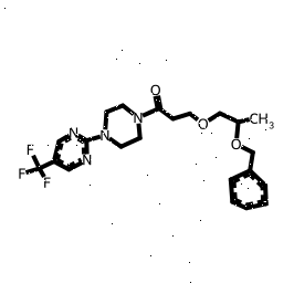 CC(COCCC(=O)N1CCN(c2ncc(C(F)(F)F)cn2)CC1)OCc1ccccc1